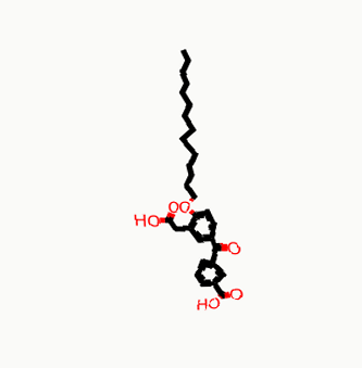 CCCCCCCCCCCCCCOc1ccc(C(=O)c2cccc(C(=O)O)c2)cc1CC(=O)O